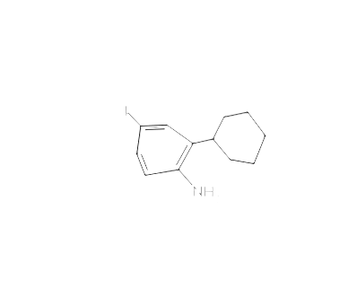 Nc1ccc(I)cc1C1CCCCC1